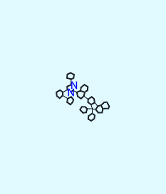 c1ccc(-c2cc(-c3ccccc3-c3ccccc3)nc(-c3ccc(-c4ccc5c(c4)C(c4ccccc4)(c4ccccc4)c4ccc6ccccc6c4-5)c4ccccc34)n2)cc1